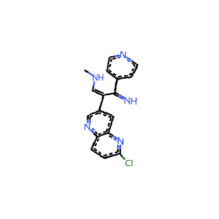 CN/C=C(\C(=N)c1ccncc1)c1cnc2ccc(Cl)nc2c1